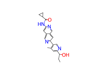 CC[C@H](O)c1cc(C)c(-c2cc3cnc(NC(=O)C4CC4)cc3cn2)cn1